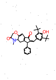 CN1C(=O)COC2=CC3=C(CC21)C(c1ccccc1)C(=Cc1cc(C(C)(C)C)c(O)c(C(C)(C)C)c1)C3=O